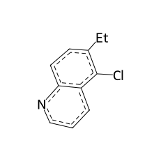 [CH2]Cc1ccc2ncccc2c1Cl